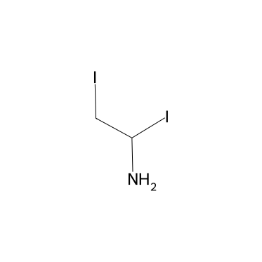 NC(I)CI